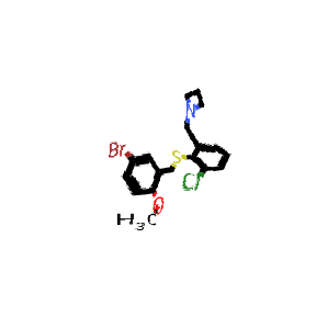 COc1ccc(Br)cc1CSc1c(Cl)cccc1CN1CCC1